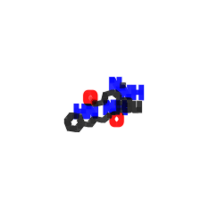 CC(C)(C)c1[nH]cnc1/C=C1\NC(=O)C/C(=C/c2ccccc2)NC1=O